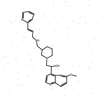 COc1ccc2nccc(C(O)CN3CCCC(CNCC=Cc4ccccn4)C3)c2n1